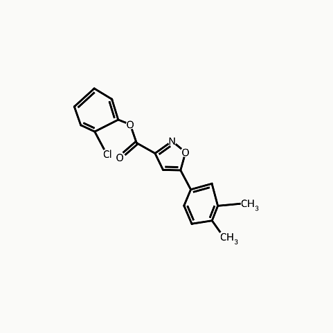 Cc1ccc(-c2cc(C(=O)Oc3ccccc3Cl)no2)cc1C